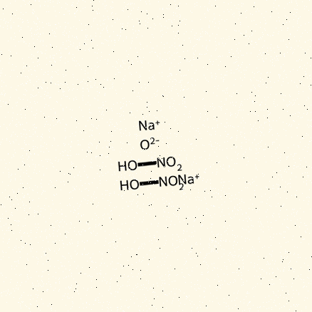 O=[N+]([O-])O.O=[N+]([O-])O.[Na+].[Na+].[O-2]